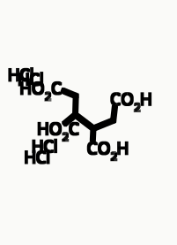 Cl.Cl.Cl.Cl.O=C(O)CC(C(=O)O)C(CC(=O)O)C(=O)O